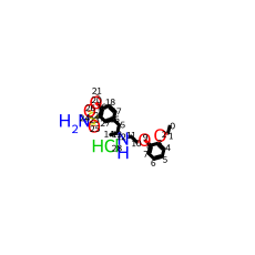 CCOc1ccccc1OCCNC(C)Cc1ccc(OC)c(S(N)(=O)=O)c1.Cl